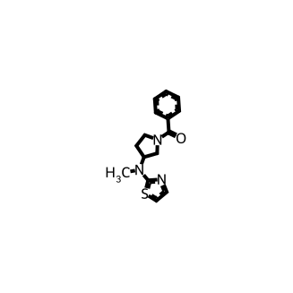 CN(c1nccs1)C1CCN(C(=O)c2ccccc2)C1